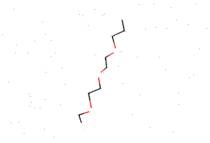 CC(=O)COCCOCCOCCNC(C)=O